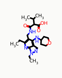 CCc1nc2c(cnn2CC)c(NC2CCOCC2)c1CNC(=O)C(C(=O)O)C(C)C